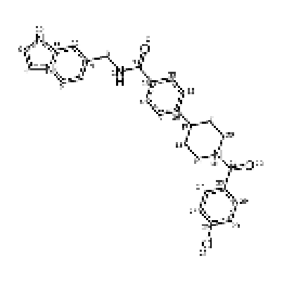 O=C(NCc1ccn2ccnc2c1)c1ccc(C2CCN(C(=O)c3ccc(Cl)cc3)CC2)cc1